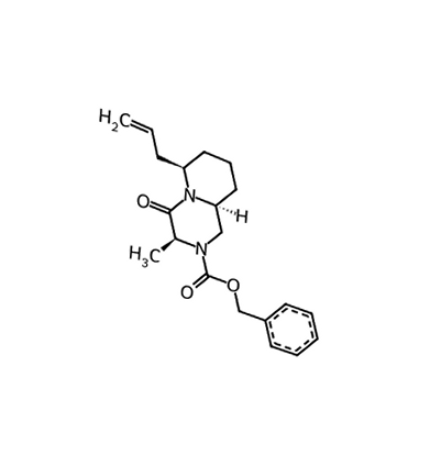 C=CC[C@H]1CCC[C@H]2CN(C(=O)OCc3ccccc3)[C@@H](C)C(=O)N12